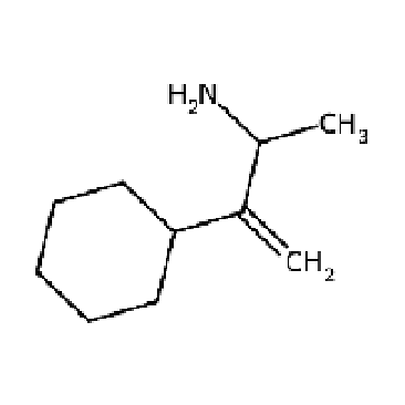 C=C(C(C)N)C1CCCCC1